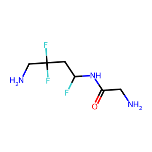 NCC(=O)NC(F)CC(F)(F)CN